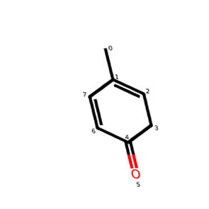 CC1=CCC(=O)C=C1